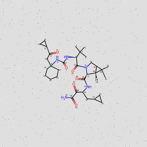 CC(C)(C)[C@H](NC(=O)NC1(CC(=O)C2CC2)CCCCC1)C(=O)N1CC2[C@@H]([C@H]1C(=O)NC(CC1CC1)C(=O)C(N)=O)C2(C)C